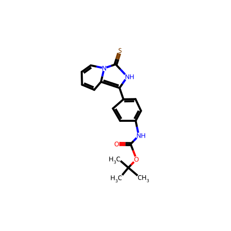 CC(C)(C)OC(=O)Nc1ccc(-c2[nH]c(=S)n3ccccc23)cc1